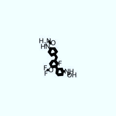 NC(=O)Nc1ccc(Cc2ccc(OC(F)F)c(-c3cccc(NO)c3)c2F)cc1